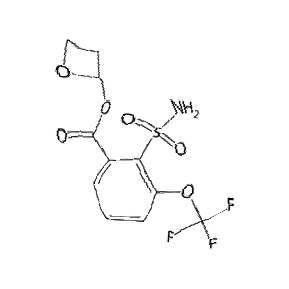 NS(=O)(=O)c1c(OC(F)(F)F)cccc1C(=O)OC1CCO1